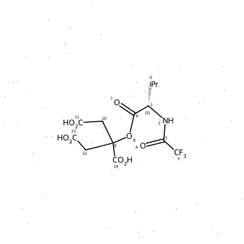 CC(C)[C@H](NC(=O)C(F)(F)F)C(=O)OC(CC(=O)O)(CC(=O)O)C(=O)O